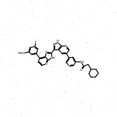 COc1cc(F)cc(-c2ccnc3[nH]c(-c4n[nH]c5ncc(-c6cncc(NC(=O)CC7CCCCC7)c6)cc45)nc23)c1